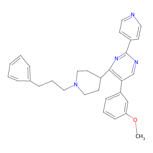 COc1cccc(-c2cnc(-c3ccncc3)nc2C2CCN(CCCc3ccccc3)CC2)c1